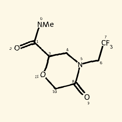 CNC(=O)C1CN(CC(F)(F)F)C(=O)CO1